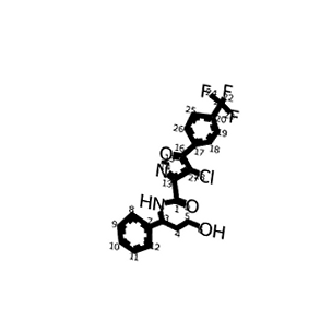 O=C(NC(CCO)c1ccccc1)c1noc(-c2ccc(C(F)(F)F)cc2)c1Cl